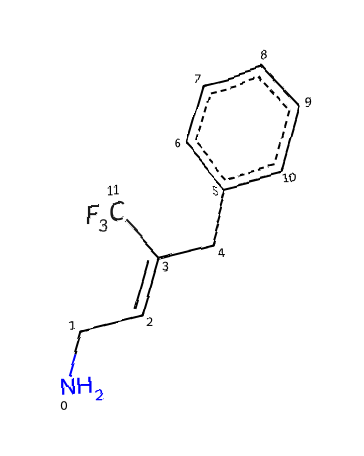 NC/C=C(/Cc1ccccc1)C(F)(F)F